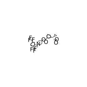 COC(=O)C[C@H](c1cccc(C(=O)OC2CCN(C(C)c3cc(C(F)(F)F)ccc3C(F)(F)F)CC2)c1)C1CC1